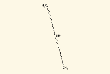 CCCCCCCCCCCCCCC[SiH]CCCCCCCCCCCCCCC